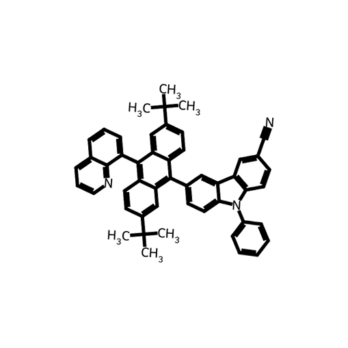 CC(C)(C)c1ccc2c(-c3cccc4cccnc34)c3cc(C(C)(C)C)ccc3c(-c3ccc4c(c3)c3cc(C#N)ccc3n4-c3ccccc3)c2c1